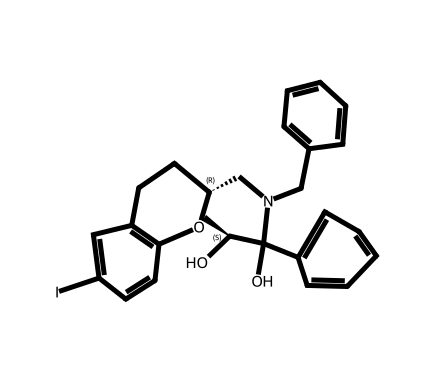 C[C@H](O)C(O)(c1ccccc1)N(Cc1ccccc1)C[C@H]1CCc2cc(I)ccc2O1